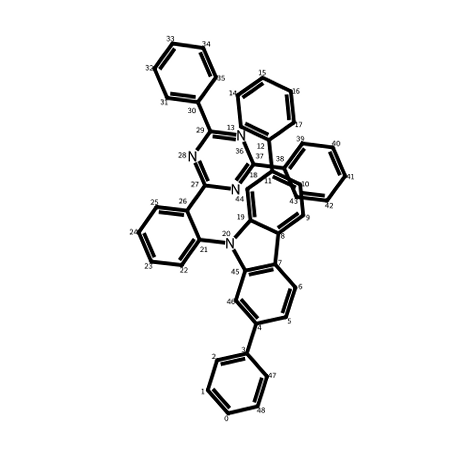 c1ccc(-c2ccc3c4ccc(-c5ccccc5)cc4n(-c4ccccc4-c4nc(-c5ccccc5)nc(-c5ccccc5)n4)c3c2)cc1